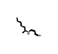 CCCCCC(C)N/C=C\C=N